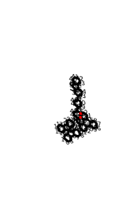 c1ccc2c(c1)-c1ccccc1C21c2ccccc2-c2ccc(N(c3ccc(-c4ccc(-c5ccc6c(c5)sc5ccccc56)cc4)cc3)c3cccc4c5ccccc5c5ccccc5c34)cc21